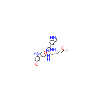 CCC(=O)CCCCCC(NC(=O)Cc1c(C)[nH]c2ccc(OC)cc12)c1ncc(-c2ccc3[nH]ccc3c2)[nH]1